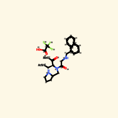 COC(=O)[C@H](CNC(C)=O)N(CC1CCCN1)C(=O)CNCc1cccc2ccccc12.O=C(O)C(F)(F)F